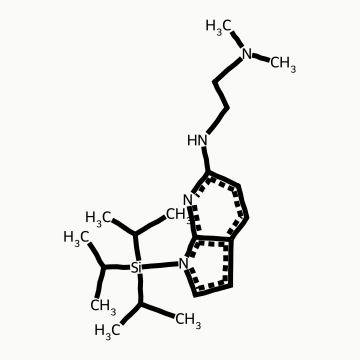 CC(C)[Si](C(C)C)(C(C)C)n1ccc2ccc(NCCN(C)C)nc21